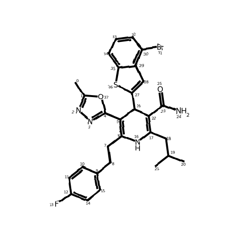 Cc1nnc(C2=C(CCc3ccc(F)cc3)NC(CC(C)C)=C(C(N)=O)C2c2cc3c(Br)cccc3s2)o1